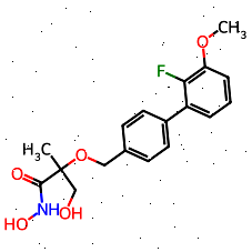 COc1cccc(-c2ccc(COC(C)(CO)C(=O)NO)cc2)c1F